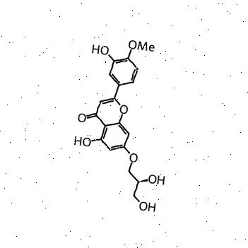 COc1ccc(-c2cc(=O)c3c(O)cc(OC[C@@H](O)CO)cc3o2)cc1O